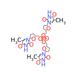 Cc1cn(C2CCC(COP(=O)(OCC3CCC(n4cc(C)c(=O)[nH]c4=O)O3)OCC3CCC(n4cc(C)c(=O)[nH]c4=O)O3)O2)c(=O)[nH]c1=O